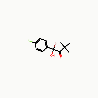 CC(C)(C)C(=O)C(O)(Br)c1ccc(F)cc1